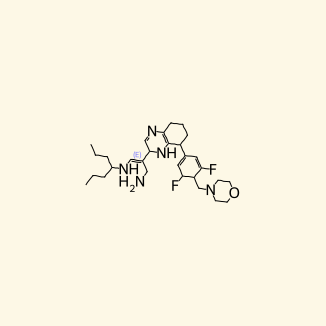 CCCC(CCC)N/C=C(\CN)C1C=NC2=C(N1)C(C1=CC(F)C(CN3CCOCC3)C(F)=C1)CCC2